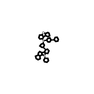 c1ccc(-c2ccc(N(c3cccc(-c4cccc5c4c4ccc6ccccc6c4n5-c4ccccc4)c3)c3cccc4oc5ccccc5c34)cc2)cc1